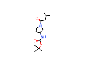 CC(C)CC(=O)N1CCC(NC(=O)OC(C)(C)C)C1